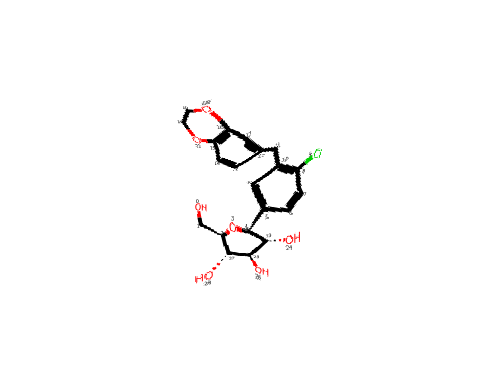 OC[C@H]1O[C@@H](c2ccc(Cl)c(Cc3ccc4c(c3)OCCO4)c2)[C@H](O)[C@@H](O)[C@@H]1O